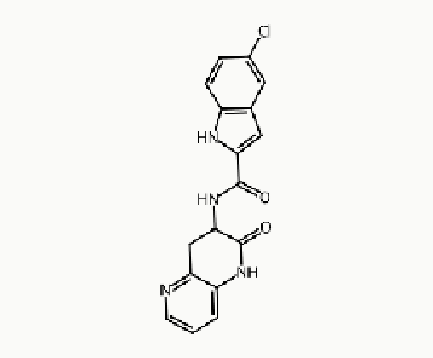 O=C(NC1Cc2ncccc2NC1=O)c1cc2cc(Cl)ccc2[nH]1